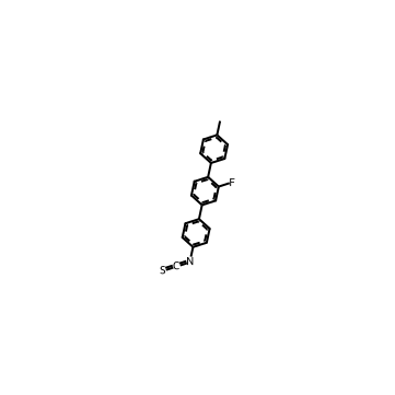 Cc1ccc(-c2ccc(-c3ccc(N=C=S)cc3)cc2F)cc1